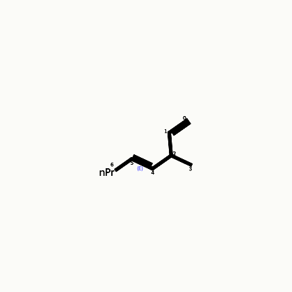 C=[C]C(C)/C=C/CCC